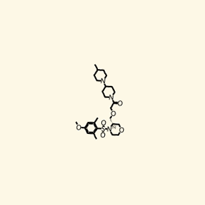 COc1cc(C)c(S(=O)(=O)N2CCOC[C@H]2COCC(=O)N2CCC(N3CCC(C)CC3)CC2)c(C)c1